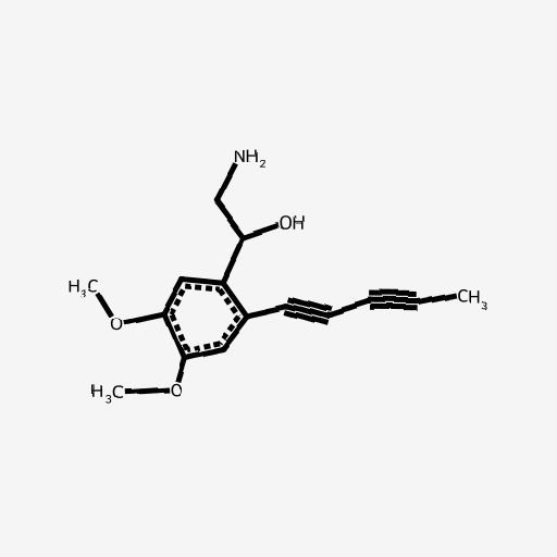 CC#CC#Cc1cc(OC)c(OC)cc1C(O)CN